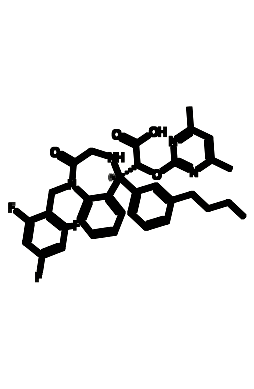 CCCCc1cccc([C@]2(C(Oc3nc(C)cc(C)n3)C(=O)O)NCC(=O)N(Cc3c(F)cc(F)cc3F)c3ccccc32)c1